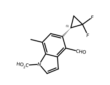 Cc1cc([C@@H]2CC2(F)F)c(C=O)c2ccn(C(=O)O)c12